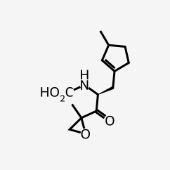 CC1C=C(C[C@H](NC(=O)O)C(=O)C2(C)CO2)CC1